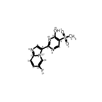 CS(=O)(=O)c1cnc(-c2cnc3ccc(F)cn23)nc1O